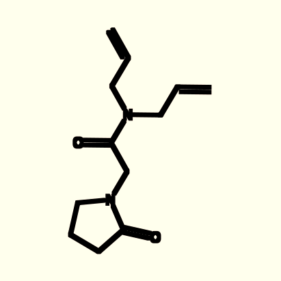 C=CCN(CC=C)C(=O)CN1CCCC1=O